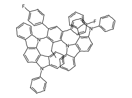 CCc1c(-n2c3ccccc3c3ccc4c(c5ccccc5n4-c4ccccc4)c32)c(-c2ccc(F)cc2)cc(-c2ccc(F)cc2)c1-n1c2ccccc2c2ccc3c(c4ccccc4n3-c3ccccc3)c21